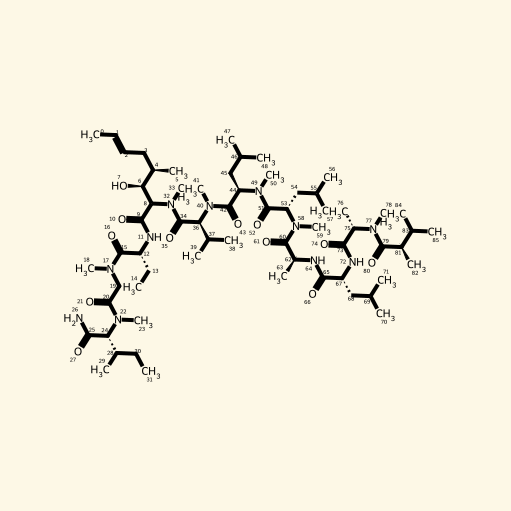 C/C=C/C[C@@H](C)[C@H](O)C(C(=O)N[C@H](CC)C(=O)N(C)CC(=O)N(C)[C@@H](C(N)=O)C(C)CC)N(C)C(=O)[C@H](C(C)C)N(C)C(=O)[C@@H](CC(C)C)N(C)C(=O)[C@H](CC(C)C)N(C)C(=O)[C@H](C)NC(=O)[C@@H](CC(C)C)NC(=O)[C@H](C)N(C)C(=O)[C@H](C)C(C)C